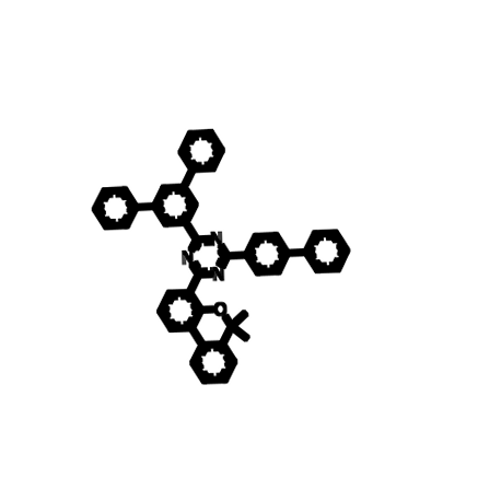 CC1(C)Oc2c(-c3nc(-c4ccc(-c5ccccc5)cc4)nc(-c4cc(-c5ccccc5)cc(-c5ccccc5)c4)n3)cccc2-c2ccccc21